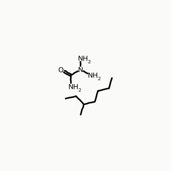 CCCCC(C)CC.NC(=O)N(N)N